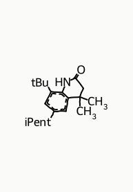 CCCC(C)c1cc(C(C)(C)C)c2c(c1)C(C)(C)CC(=O)N2